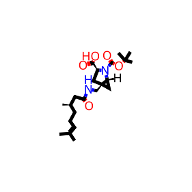 CC(C)=CCC[C@@H](C)CC(=O)NC[C@@]12C[C@@H](C(=O)O)N(C(=O)OC(C)(C)C)[C@@H]1C2